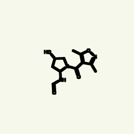 Cc1noc(C)c1C(=O)N1CC(O)CC1NC=O